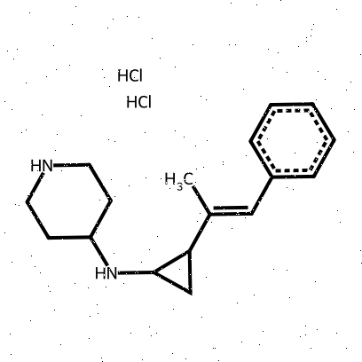 C/C(=C\c1ccccc1)C1CC1NC1CCNCC1.Cl.Cl